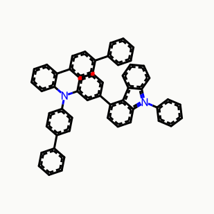 c1ccc(-c2ccc(-c3ccccc3N(c3ccc(-c4ccccc4)cc3)c3cccc(-c4cccc5c4c4ccccc4n5-c4ccccc4)c3)cc2)cc1